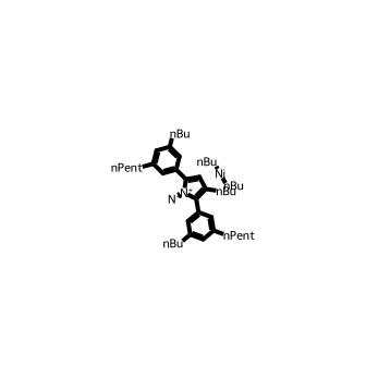 CCCCCc1cc(CCCC)cc(C2=CC(CCCC)=C(c3cc(CCCC)cc(CCCCC)c3)[N+]2=[N-])c1.CCC[CH2][Ni][CH2]CCC